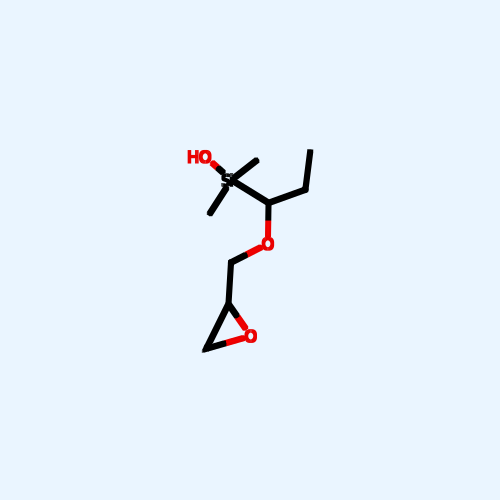 CCC(OCC1CO1)[Si](C)(C)O